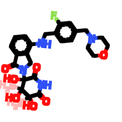 BC1(O)C(=O)NC(=O)C(O)(N2Cc3c(NCc4ccc(CN5CCOCC5)cc4F)cccc3C2=O)C1(B)O